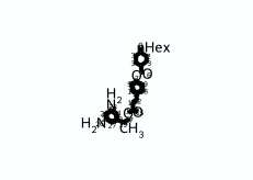 CCCCCCC1CCC(C(=O)Oc2ccc(/C=C/C(=O)OCC(C)c3cc(N)cc(N)c3)cc2)CC1